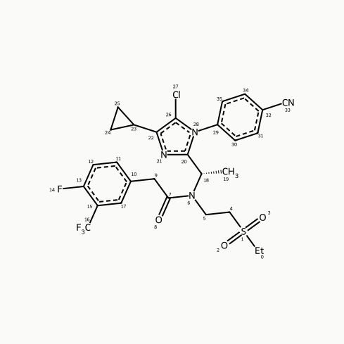 CCS(=O)(=O)CCN(C(=O)Cc1ccc(F)c(C(F)(F)F)c1)[C@@H](C)c1nc(C2CC2)c(Cl)n1-c1ccc(C#N)cc1